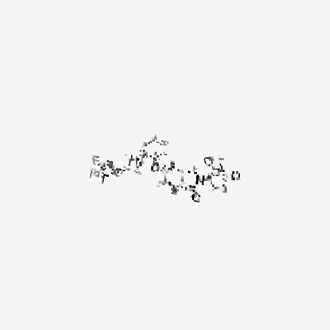 O=C1CCC(N2Cc3cc(O[C@@H]4CCCC[C@H]4N4CC(OCC(F)(F)F)C4)ccc3C2=O)C(=O)N1